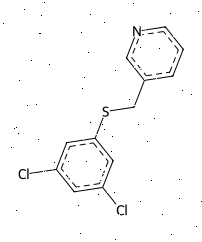 Clc1cc(Cl)cc(SCc2cccnc2)c1